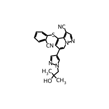 CC(C)(O)Cn1cc(-c2cc(Sc3ccccc3C#N)c3c(C#N)cnn3c2)cn1